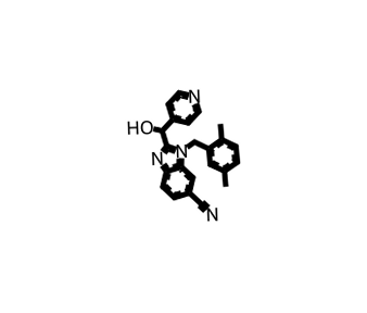 Cc1ccc(C)c(Cn2c(C(O)c3ccncc3)nc3ccc(C#N)cc32)c1